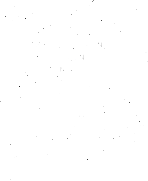 Cc1cn(-c2ccc(Oc3ccccc3)cc2)/c(=N/C(=O)N2CCCC2)s1